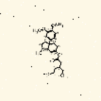 CCCC(CC)CC(=O)OC1=CC2N(C)CCC2(c2ccc(OC)c(OC)c2)CC1